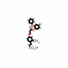 CC[C@@H](CCOc1ccc(CCC(=O)O)c(C)c1)Oc1ccc(Cl)cc1Oc1ccccc1